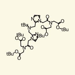 CC(C)(C)OC(=O)CN(CC(=O)OC(C)(C)C)C(=O)Cn1ccnc1CN(Cc1nccn1CC(=O)N(CC(=O)OC(C)(C)C)CC(=O)OC(C)(C)C)C(C)(C)C